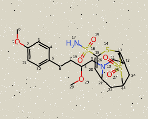 COc1ccc(CCC(CN2CC3=C4SC(S(N)(=O)=O)=CC2CC(C3)S4(=O)=O)OC)cc1